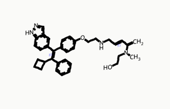 C=C(/C=C/CNCCOc1ccc(/C(=C(\c2ccccc2)C2CCC2)c2ccc3[nH]ncc3c2)cc1)N(C)CCO